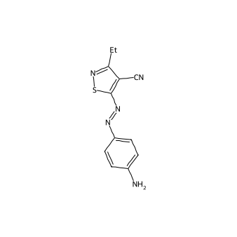 CCc1nsc(/N=N/c2ccc(N)cc2)c1C#N